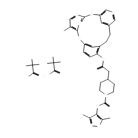 Cc1noc(C)c1NC(=O)N1CCC(CC(=O)Nc2ccc3cc2CCc2cncc(c2)Nc2ncc(Cl)c(n2)N3)CC1.O=C(O)C(F)(F)F.O=C(O)C(F)(F)F